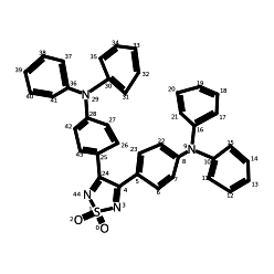 O=S1(=O)N=C(c2ccc(N(c3ccccc3)c3ccccc3)cc2)C(c2ccc(N(c3ccccc3)c3ccccc3)cc2)=N1